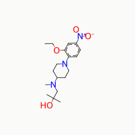 CCOc1cc([N+](=O)[O-])ccc1N1CCC(N(C)CC(C)(C)O)CC1